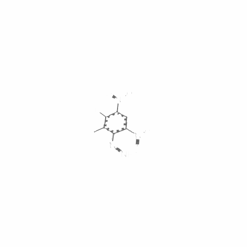 Cc1c(F)c([N+](=O)[O-])cc([N+](=O)[O-])c1N=N